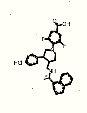 C[C@@H](NCC1CCN(c2c(F)cc(C(=O)O)cc2F)CC1c1ccccc1)c1cccc2ccccc12.Cl